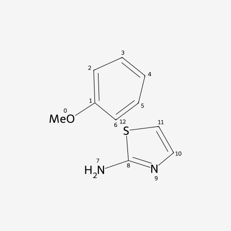 COc1ccccc1.Nc1nccs1